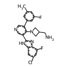 Cc1cc(F)cc(-c2cncc(-c3nc4c(F)cc(Cl)cc4[nH]3)c2N2CC(CN)C2)c1